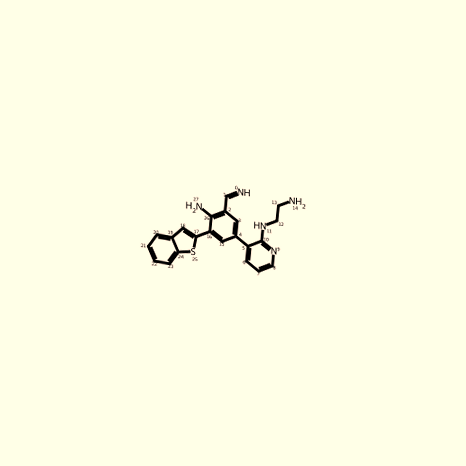 N=Cc1cc(-c2cccnc2NCCN)cc(-c2cc3ccccc3s2)c1N